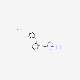 COc1ccc(Sc2ccccc2CCc2c[nH]c(N)n2)cc1